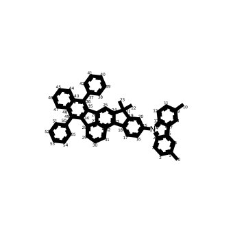 Cc1ccc2c(c1)c1cc(C)ccc1n2-c1ccc2c(c1)C(C)(C)c1cc3c4c(cccc4c1-2)-c1c-3c(-c2ccccc2)c2ccccc2c1-c1ccccc1